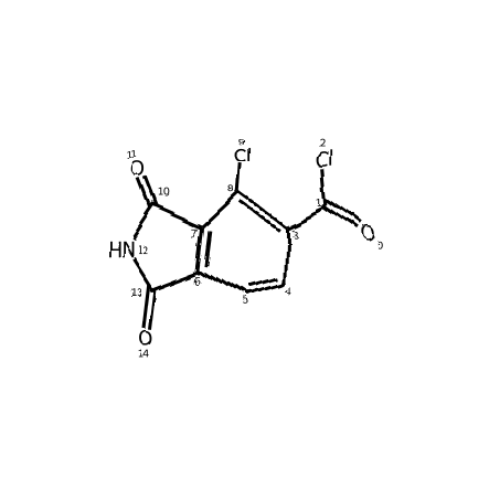 O=C(Cl)c1ccc2c(c1Cl)C(=O)NC2=O